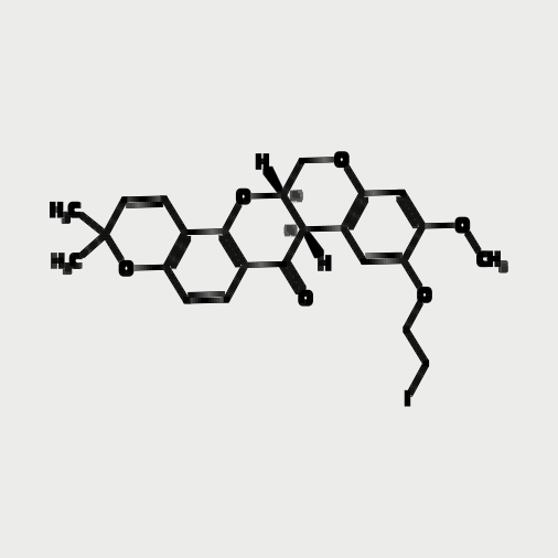 COc1cc2c(cc1OCCI)[C@@H]1C(=O)c3ccc4c(c3O[C@@H]1CO2)C=CC(C)(C)O4